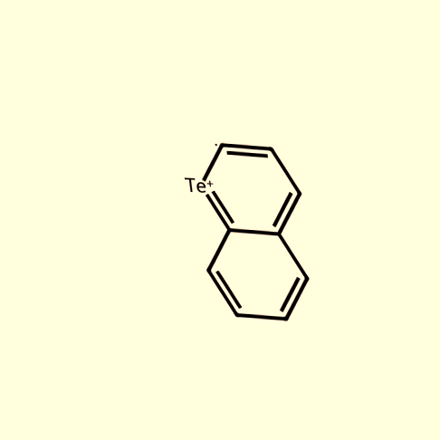 [c]1ccc2ccccc2[te+]1